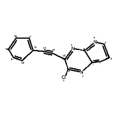 Clc1nc2cccnc2nc1C#Cc1ccccc1